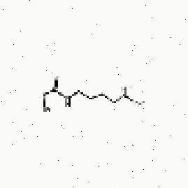 C=C(CC(C)C)NCCCCNCCC